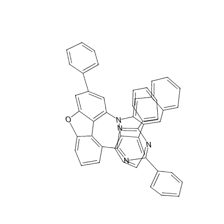 c1ccc(-c2cc(-n3c4ccccc4c4cc5ccccc5cc43)c3c(c2)oc2cccc(-c4nc(-c5ccccc5)nc(-c5ccccc5)n4)c23)cc1